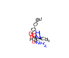 CCC(C)c1ccc(-c2ccc(C(=O)OC(=O)[C@H](CCC(N)=O)NC(C)(C)Cc3ccccc3)cc2)cc1